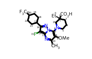 CC[C@@]1(C(=O)O)CCCN(c2c(OC)c(C)nc3c(F)c(C4CCC(C(F)(F)F)CC4)nn23)C1